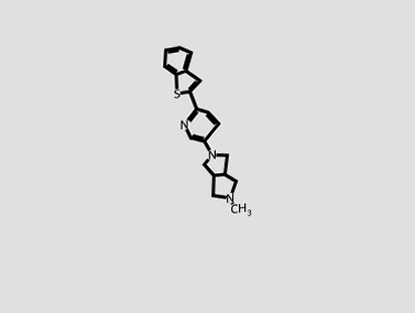 CN1CC2CN(c3ccc(-c4cc5ccccc5s4)nc3)CC2C1